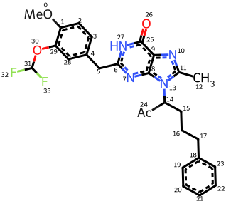 COc1ccc(Cc2nc3c(nc(C)n3C(CCCc3ccccc3)C(C)=O)c(=O)[nH]2)cc1OC(F)F